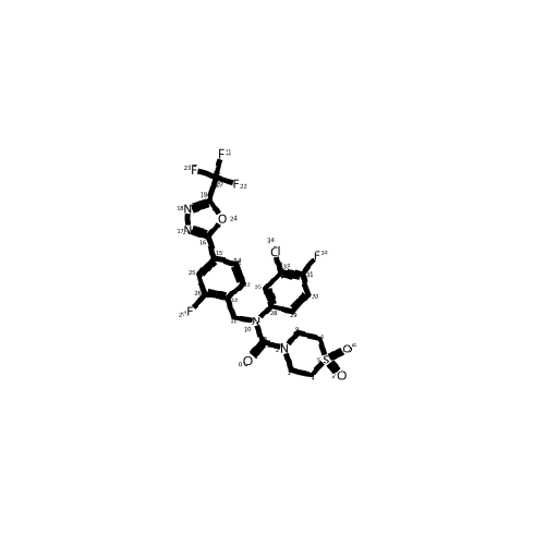 O=C(N1CCS(=O)(=O)CC1)N(Cc1ccc(-c2nnc(C(F)(F)F)o2)cc1F)c1ccc(F)c(Cl)c1